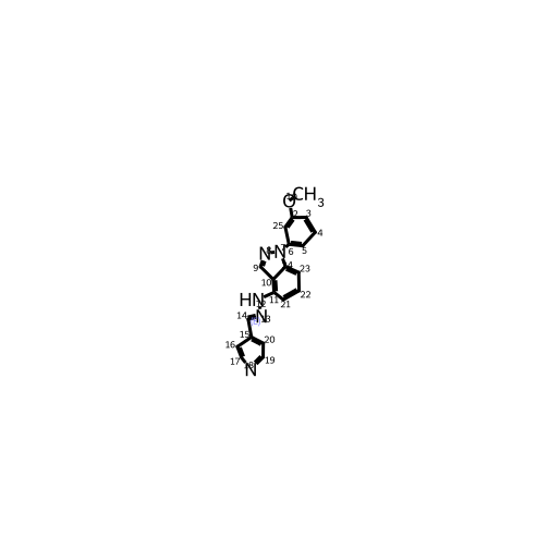 COc1cccc(-n2ncc3c(N/N=C/c4ccncc4)cccc32)c1